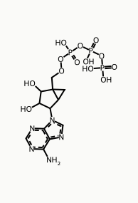 Nc1ncnc2c1ncn2C1C(O)C(O)C2(COOP(=O)(O)OP(=O)(O)OP(=O)(O)O)CC12